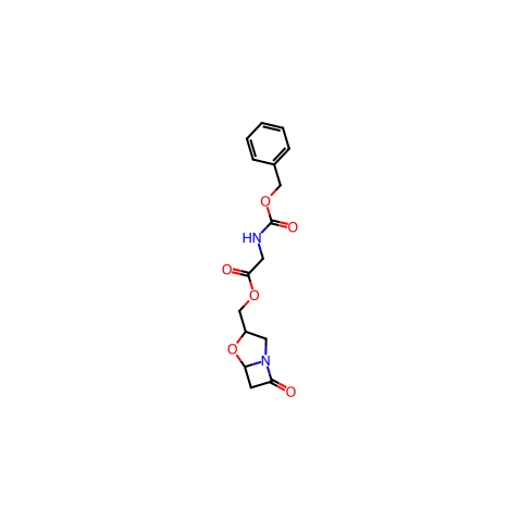 O=C(CNC(=O)OCc1ccccc1)OCC1CN2C(=O)CC2O1